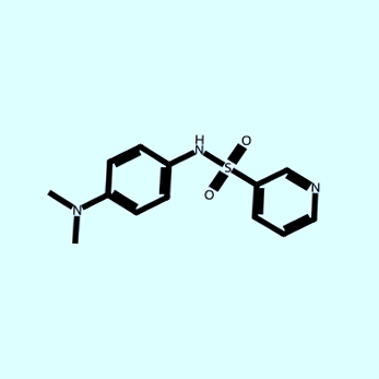 CN(C)c1ccc(NS(=O)(=O)c2cccnc2)cc1